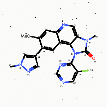 COc1cc2ncc3c(c2cc1-c1cnn(C)c1)n(-c1ncncc1F)c(=O)n3C